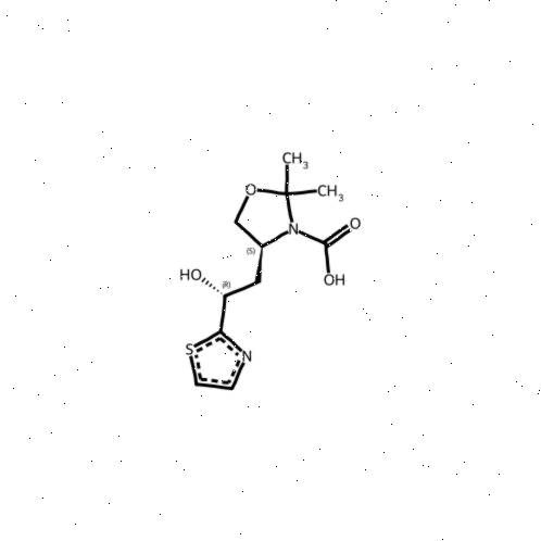 CC1(C)OC[C@H](C[C@@H](O)c2nccs2)N1C(=O)O